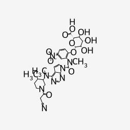 C[C@@H]1CCN(C(=O)CC#N)C[C@@H]1N(C)c1ncnc2c1ccn2C(=O)N(C)c1cc([N+](=O)[O-])ccc1O[C@@H]1O[C@H](C(=O)O)[C@@H](O)[C@H](O)[C@H]1O